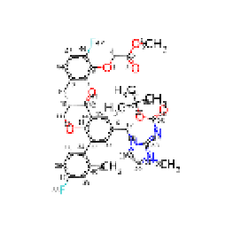 COC(=O)COc1cc(C[C@H]2COc3c(cc(Cn4ccn(C)/c4=N/C(=O)OC(C)(C)C)cc3-c3ccc(F)cc3C)C2=O)ccc1F